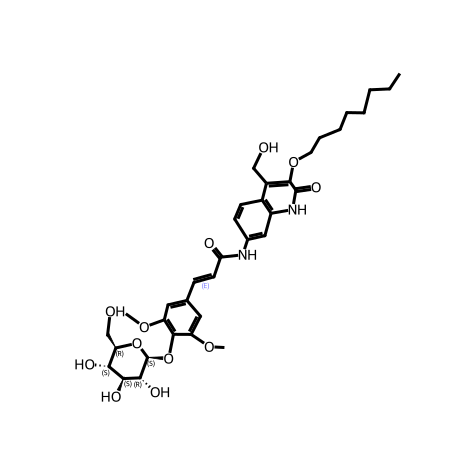 CCCCCCCCOc1c(CO)c2ccc(NC(=O)/C=C/c3cc(OC)c(O[C@@H]4O[C@H](CO)[C@@H](O)[C@H](O)[C@H]4O)c(OC)c3)cc2[nH]c1=O